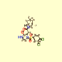 CC1(C)C[C@H]2C[C@](C)(CN2C(=O)C[C@@H]2C(=O)NC=CN2S(=O)(=O)c2ccc(Cl)c(Cl)c2)C1